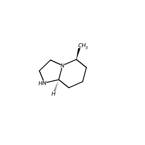 C[C@H]1CCC[C@H]2NCCN12